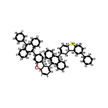 C1=CC2Oc3cc(-c4c5ccccc5c(-c5ccccc5)c5ccccc45)ccc3C2C(c2c3ccccc3c(C3=CC=C4Sc5ccc(-c6ccccc6)cc5C4C3)c3ccccc23)=C1